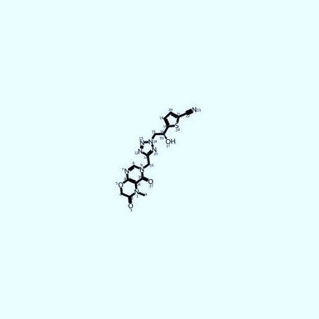 CN1C(=O)COc2ncn(Cc3nnn(C[C@H](O)c4ccc(C#N)s4)n3)c(=O)c21